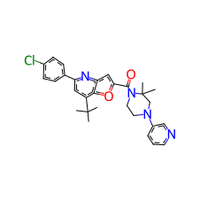 CC(C)(C)c1cc(-c2ccc(Cl)cc2)nc2cc(C(=O)N3CCN(c4cccnc4)CC3(C)C)oc12